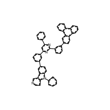 c1ccc(-c2cc(-c3cccc(-c4ccc5c(c4)c4cnccc4n5-c4ccccc4)c3)nc(-c3cccc(-c4ccc5c6ccccc6c6ccccc6c5c4)c3)n2)cc1